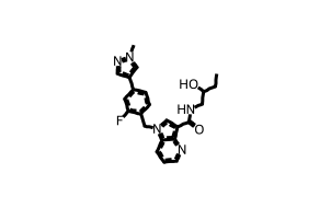 CCC(O)CNC(=O)c1cn(Cc2ccc(-c3cnn(C)c3)cc2F)c2cccnc12